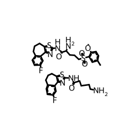 COc1ccc(C)cc1S(=O)(=O)CCCC(N)C(=O)Nc1nc2c(s1)CCCc1ccc(F)cc1-2.NCCCCC(=O)Nc1nc2c(s1)CCCc1ccc(F)cc1-2